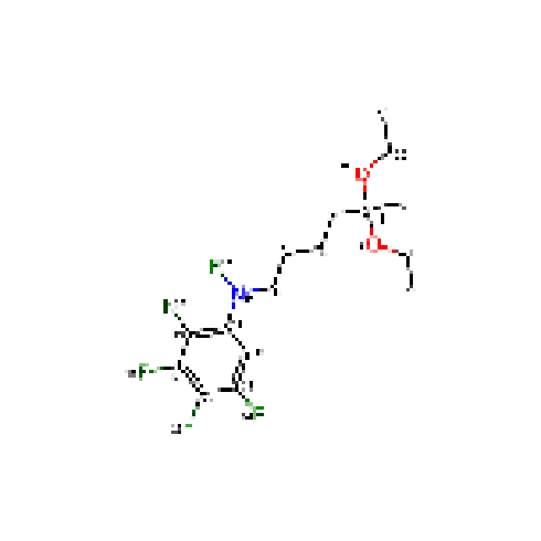 CCO[Si](C)(CCCCN(F)c1cc(F)c(F)c(F)c1F)OCC